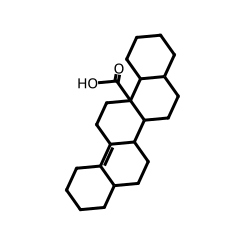 O=C(O)C12CCC3=C4CCCCC4CCC3C1CCC1CCCCC12